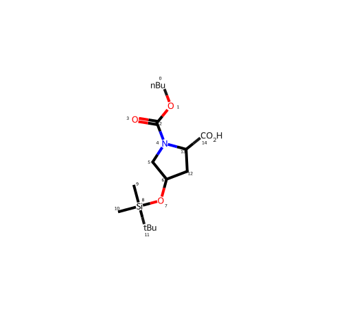 CCCCOC(=O)N1CC(O[Si](C)(C)C(C)(C)C)CC1C(=O)O